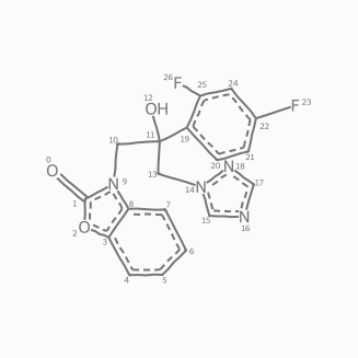 O=c1oc2ccccc2n1CC(O)(Cn1cncn1)c1ccc(F)cc1F